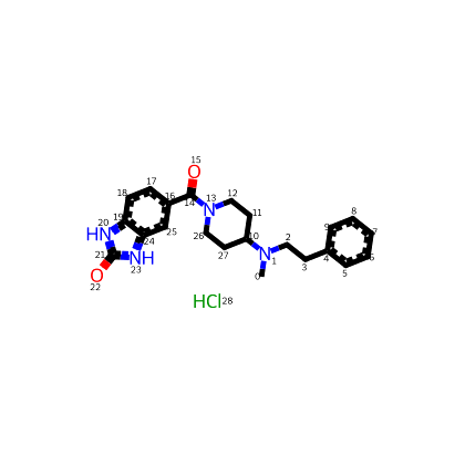 CN(CCc1ccccc1)C1CCN(C(=O)c2ccc3[nH]c(=O)[nH]c3c2)CC1.Cl